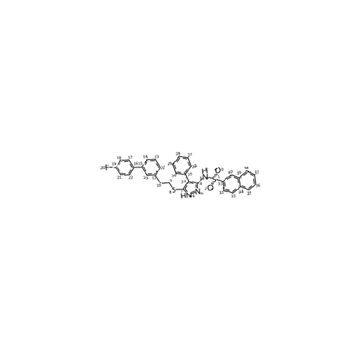 O=S(=O)(Nc1n[nH]c(SCCc2cccc(-c3ccc(F)cc3)c2)c1-c1ccccc1)c1ccc2ccccc2c1